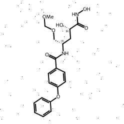 COCOC[C@H](C[C@H](O)C(=O)NO)NC(=O)c1ccc(Oc2ccccc2)cc1